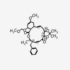 COCOC1C=C(OC)CC2/C=C/C[C@@H]3OC(C)(C)O[C@@H]3C(=O)/C=C\[C@@H](Cc3ccccc3)[C@H](C)OC(=O)C21